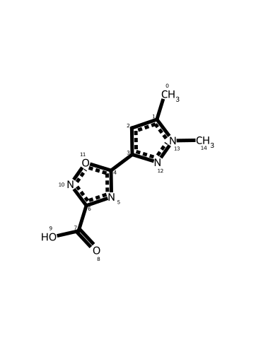 Cc1cc(-c2nc(C(=O)O)no2)nn1C